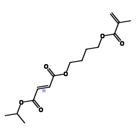 C=C(C)C(=O)OCCCCOC(=O)/C=C/C(=O)OC(C)C